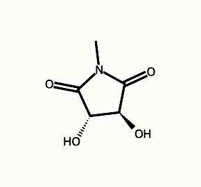 CN1C(=O)[C@@H](O)[C@H](O)C1=O